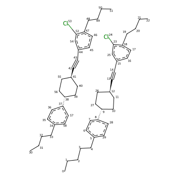 CCCCCc1ccc([C@H]2CC[C@H](C#Cc3ccc(CCCC)c(Cl)c3)CC2)cc1.CCCCc1ccc([C@H]2CC[C@H](C#Cc3ccc(CCCC)c(Cl)c3)CC2)cc1